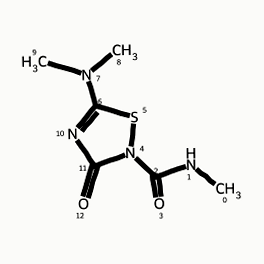 CNC(=O)n1sc(N(C)C)nc1=O